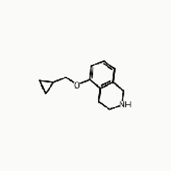 c1cc2c(c(OCC3CC3)c1)CCNC2